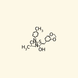 Cc1ccc(/N=C2\S/C(=C\c3ccc4c(c3)OCCO4)C(O)N2CC(C)C)cc1